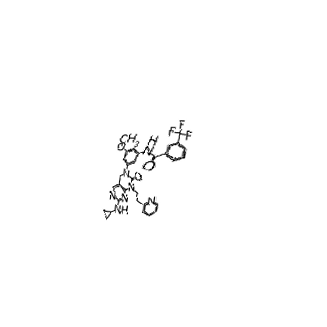 COc1cc(NC(=O)c2cccc(C(F)(F)F)c2)cc(N2Cc3cnc(NC4CC4)nc3N(CCc3ccccn3)C2=O)c1